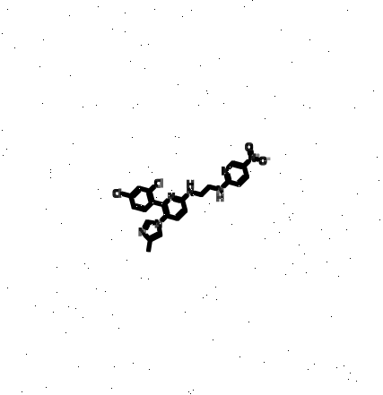 Cc1cn(-c2ccc(NCCNc3ccc([N+](=O)[O-])cn3)nc2-c2ccc(Cl)cc2Cl)cn1